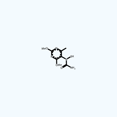 COc1nc(C)c(N(S)C(N)=O)c(OC)n1